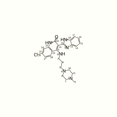 CN1CCN(CCCNc2c(-c3nc4ccccc4[nH]3)c(=O)[nH]c3cc(Cl)ccc23)CC1